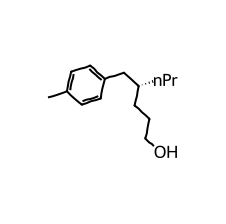 CCC[C@H](CCCO)Cc1ccc(C)cc1